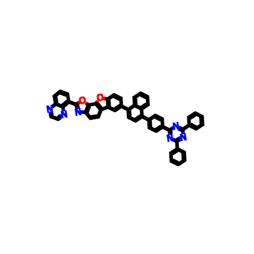 c1ccc(-c2nc(-c3ccccc3)nc(-c3ccc(-c4ccc(-c5ccc6oc7c(ccc8nc(-c9cccc%10nccnc9%10)oc87)c6c5)c5ccccc45)cc3)n2)cc1